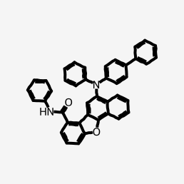 O=C(Nc1ccccc1)c1cccc2oc3c4ccccc4c(N(c4ccccc4)c4ccc(-c5ccccc5)cc4)cc3c12